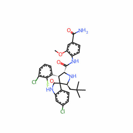 COc1cc(C(N)=O)ccc1NC(=O)[C@@H]1N[C@@H](CC(C)(C)C)C2(C(=O)Nc3cc(Cl)ccc32)[C@@H]1c1cccc(Cl)c1F